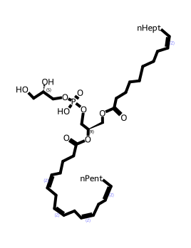 CCCCC/C=C\C/C=C\C/C=C\C/C=C\CCCC(=O)O[C@H](COC(=O)CCCCCCC/C=C\CCCCCCC)COP(=O)(O)OC[C@@H](O)CO